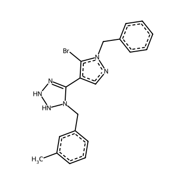 Cc1cccc(CN2NNN=C2c2cnn(Cc3ccccc3)c2Br)c1